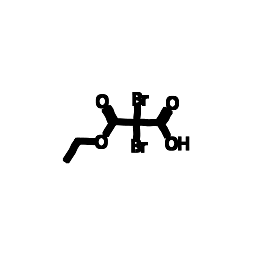 CCOC(=O)C(Br)(Br)C(=O)O